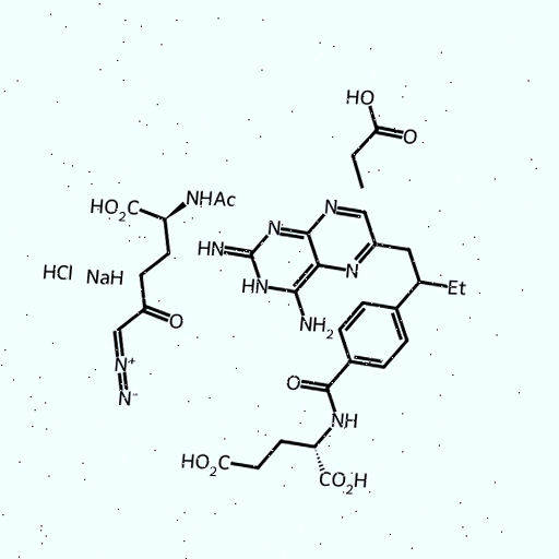 CC(=O)N[C@@H](CCC(=O)C=[N+]=[N-])C(=O)O.CCC(=O)O.CCC(Cc1cnc2nc(=N)[nH]c(N)c2n1)c1ccc(C(=O)N[C@@H](CCC(=O)O)C(=O)O)cc1.Cl.[NaH]